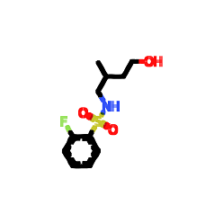 CC(CCO)CNS(=O)(=O)c1ccccc1F